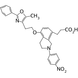 Cc1oc(-c2ccccc2)nc1CCOc1ccc(CCC(=O)O)c2c1CCN(c1ccc([N+](=O)[O-])cc1)C2